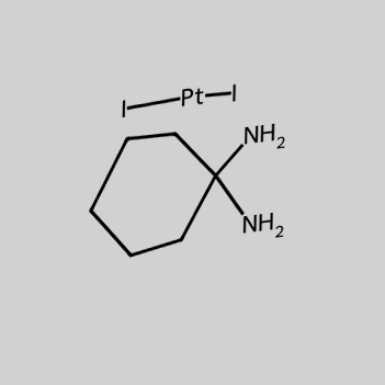 NC1(N)CCCCC1.[I][Pt][I]